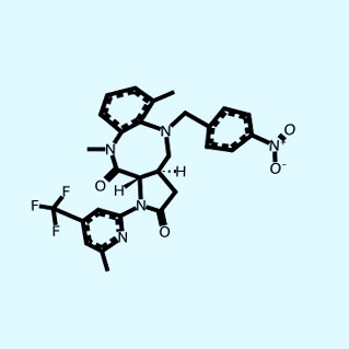 Cc1cc(C(F)(F)F)cc(N2C(=O)C[C@@H]3CN(Cc4ccc([N+](=O)[O-])cc4)c4c(C)cccc4N(C)C(=O)[C@H]32)n1